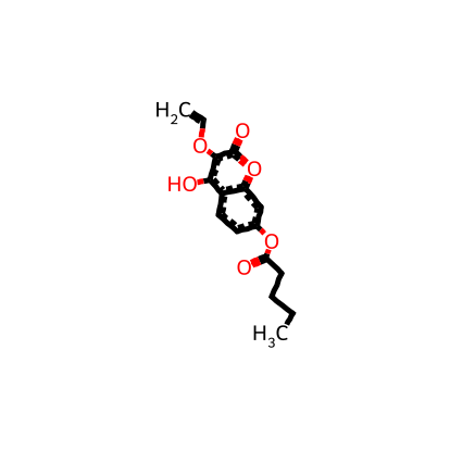 C=COc1c(O)c2ccc(OC(=O)CCCC)cc2oc1=O